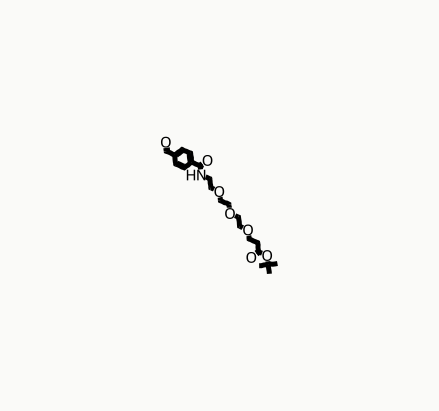 CC(C)(C)OC(=O)CCOCCOCCOCCNC(=O)c1ccc(C=O)cc1